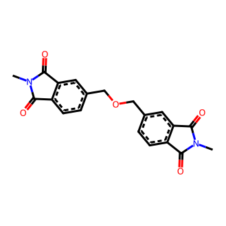 CN1C(=O)c2ccc(COCc3ccc4c(c3)C(=O)N(C)C4=O)cc2C1=O